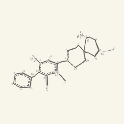 C[C@H]1C[C@@H](N)C2(CCN(c3nc(N)c(-c4ccccc4)c(=O)n3C)CC2)C1